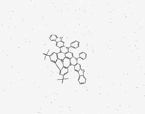 CC(C)(C)c1cc2c3c(c1)c1cc(C(C)(C)C)cc4c1n3-c1c3c(cc5c1B4c1cc4c(cc1N5c1ccccc1)oc1ccccc14)N(c1ccccc1)c1cc4oc5ccccc5c4cc1B32